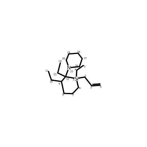 C=CC[Si]1(CC)CCCC(CC)C1(CC)N1CCCCC1